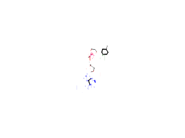 Cc1ccc(Cl)c([C@@H]2CCOP(=S)(OC[C@@H]3CC(O)[C@H](n4cnc5c(N)ncnc54)O3)O2)c1